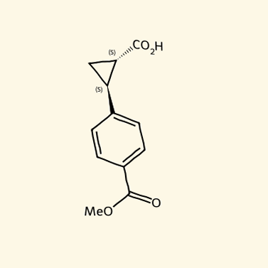 COC(=O)c1ccc([C@H]2C[C@@H]2C(=O)O)cc1